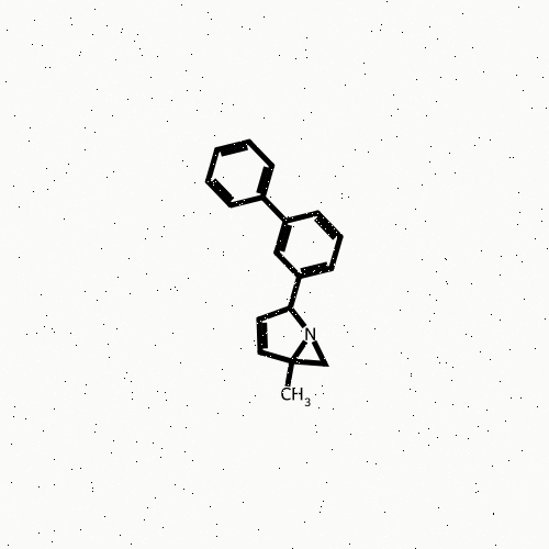 CC12C=CC(c3cccc(-c4ccccc4)c3)N1C2